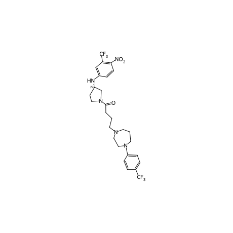 O=C(CCCN1CCCN(c2ccc(C(F)(F)F)cc2)CC1)N1CC[C@H](Nc2ccc([N+](=O)[O-])c(C(F)(F)F)c2)C1